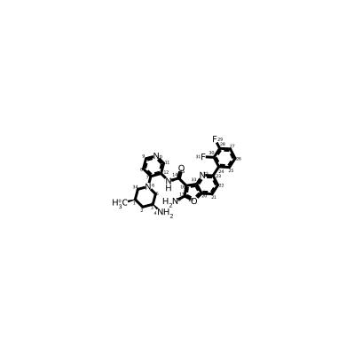 C[C@@H]1C[C@H](N)CN(c2ccncc2NC(=O)c2c(N)oc3ccc(-c4cccc(F)c4F)nc23)C1